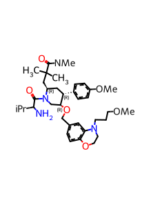 CNC(=O)C(C)(C)C[C@H]1C[C@H](c2ccc(OC)cc2)[C@@H](OCc2ccc3c(c2)N(CCCOC)CCO3)CN1C(=O)C(N)C(C)C